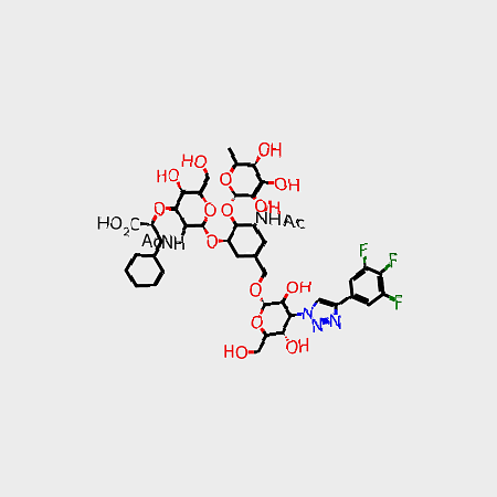 CC(=O)NC1CC(CO[C@H]2OC(CO)[C@@H](O)C(n3cc(-c4cc(F)c(F)c(F)c4)nn3)C2O)C[C@@H](O[C@@H]2OC(CO)[C@H](O)C(O[C@@H](CC3CCCCC3)C(=O)O)C2NC(C)=O)C1O[C@@H]1OC(C)[C@@H](O)C(O)C1O